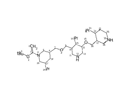 C=C(OC(C)(C)C)N1CC(COCC2CNCC(OCC3CNCCC3C(C)C)C2C(C)C)CC(C(C)C)C1